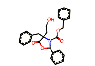 O=C(OCc1ccccc1)N1[C@@H](c2ccccc2)OC(=O)[C@]1(CCO)Cc1ccccc1